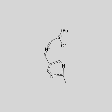 Cc1ncc(C=[N+]=C[S+]([O-])C(C)(C)C)cn1